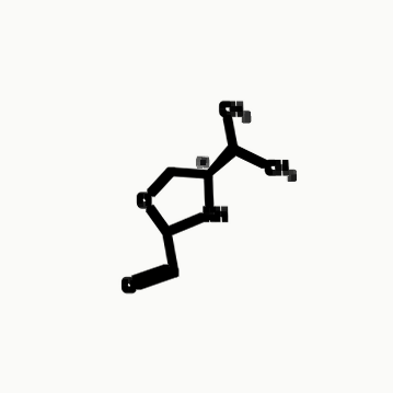 CC(C)[C@@H]1COC(C=O)N1